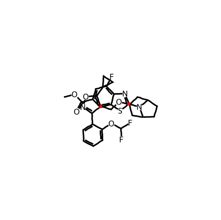 COC(=O)c1cc(F)c2nc(N3C4CCC3CC(OCc3c(-c5ccccc5OC(F)F)noc3C3CC3)C4)sc2c1